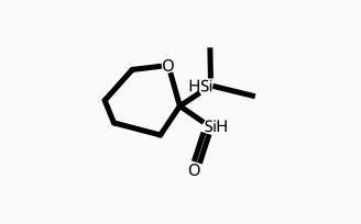 C[SiH](C)C1([SiH]=O)CCCCO1